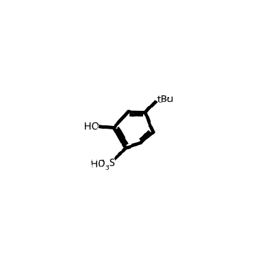 CC(C)(C)c1ccc(S(=O)(=O)O)c(O)c1